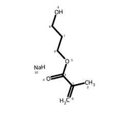 C=C(C)C(=O)OCCCO.[NaH]